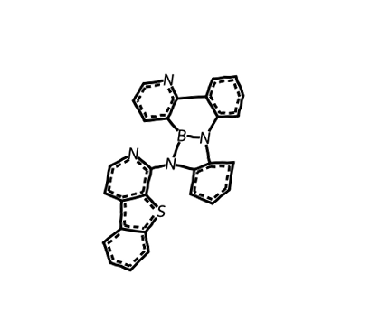 c1cnc2c(c1)B1N(c3ccccc3-2)c2ccccc2N1c1nccc2c1sc1ccccc12